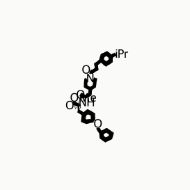 COC(=O)[C@H](Cc1ccc(OCc2ccccc2)cc1)NC(=O)CC1CCN(C(=O)CCc2ccc(C(C)C)cc2)CC1